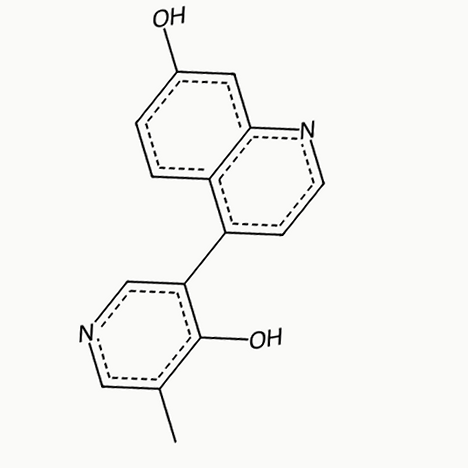 Cc1cncc(-c2ccnc3cc(O)ccc23)c1O